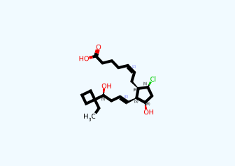 CCC1([C@@H](O)C/C=C/[C@H]2[C@@H](C/C=C\CCCC(=O)O)[C@@H](Cl)C[C@H]2O)CCC1